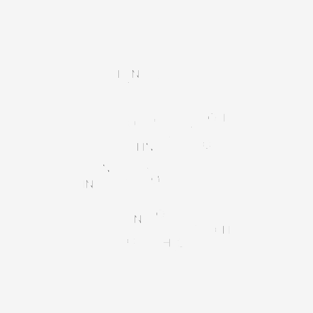 CC(C)c1ccc2c(c1)OC1(O)C3=CCCC(N)=C3C(=O)C21NC(=O)c1n[nH]cc1[N+](=O)[O-]